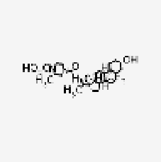 C[C@H](CCC(=O)N1CCN(C(=O)O)[C@@H](C)C1)[C@H]1CC[C@H]2[C@@H]3CC=C4C[C@@H](O)CC[C@]4(C)[C@H]3CC[C@]12C